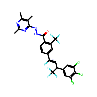 Cc1nc(C)c(C)c(NNC(=O)c2ccc(/C(F)=C/C(c3cc(Cl)c(Cl)c(Cl)c3)C(F)(F)F)cc2C(F)(F)F)n1